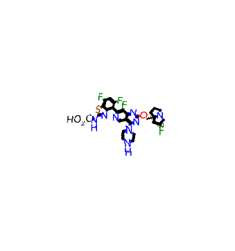 O=C(O)Nc1nc2c(-c3ncc4c(N5CCNCC5)nc(OC[C@@]56CCCN5C[C@H](F)C6)nc4c3F)c(F)cc(F)c2s1